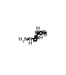 CC(=O)Oc1ccc2c(-c3cc4c(CNCCN)cccc4[nH]3)n[nH]c2c1